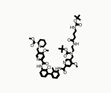 COC(=O)[C@@H]1CCCCN1Cc1cnc(C(=O)Nc2cccc(-c3cccc(NC(=O)c4cc(OC)c(CN(CCNC(=O)CCCNC(=O)OC(C)(C)C)C(=O)OC(C)(C)C)cn4)c3C)c2Cl)cc1OC